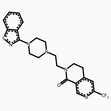 O=C1c2cnc(C(F)(F)F)cc2CCN1CCN1CCN(c2nsc3ccccc23)CC1